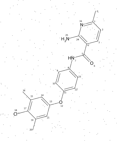 Cc1ccc(C(=O)Nc2ccc(Oc3cc(C)c(Cl)c(C)c3)cc2)c(N)n1